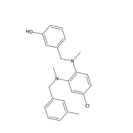 Cc1cccc(CN(C)c2cc(Cl)ccc2N(C)Cc2cccc(O)c2)c1